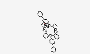 CN1c2ccccc2P(c2ccc(-c3ccccc3)cc2)c2ccccc2N(C)c2ccccc2[PH](C)(c2ccc(-c3ccccc3)cc2)c2ccccc21